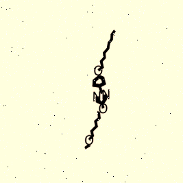 CCCCCCCCCOc1ccc(-c2ncc(OCCCCCCOCC)cn2)cc1